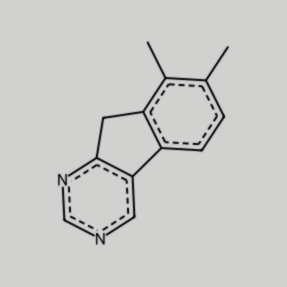 Cc1ccc2c(c1C)Cc1ncncc1-2